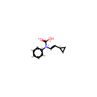 O=C(O)N(C=CC1CC1)c1ccccc1